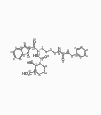 CC(C)(C)C1[C@H](C(=O)N[C@@H](CCCCNC(=O)OCc2ccccc2)C(=O)c2nc3ccccc3s2)CCCN1C(=O)O